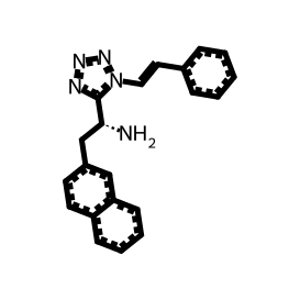 N[C@H](Cc1ccc2ccccc2c1)c1nnnn1C=Cc1ccccc1